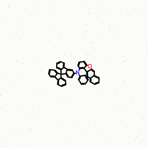 c1ccc(N(c2ccc3c(c2)-c2ccccc2C32c3ccccc3-c3ccccc32)c2cccc3oc4cc5ccccc5cc4c23)cc1